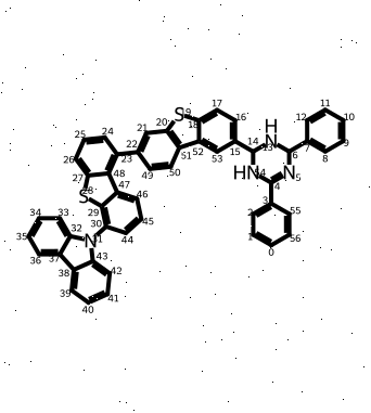 c1ccc(C2=NC(c3ccccc3)NC(c3ccc4sc5cc(-c6cccc7sc8c(-n9c%10ccccc%10c%10ccccc%109)cccc8c67)ccc5c4c3)N2)cc1